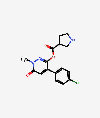 Cn1nc(OC(=O)C2CCNC2)c(-c2ccc(Cl)cc2)cc1=O